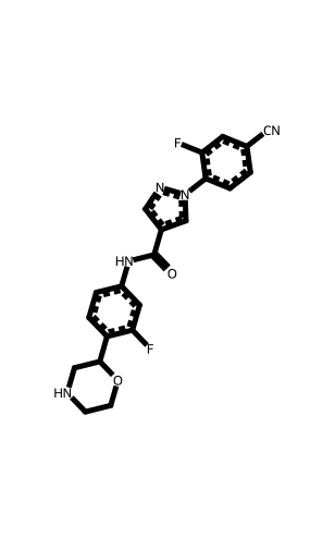 N#Cc1ccc(-n2cc(C(=O)Nc3ccc(C4CNCCO4)c(F)c3)cn2)c(F)c1